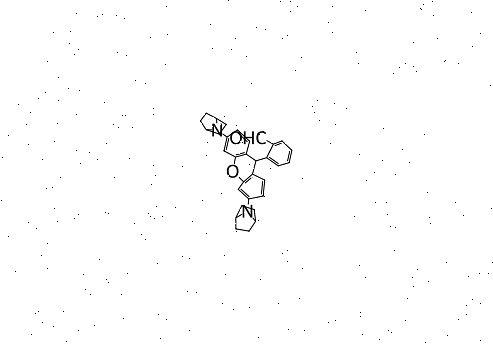 O=Cc1ccccc1C1c2ccc(N3C4CCC3CC4)cc2Oc2cc(N3C4CCC3CC4)ccc21